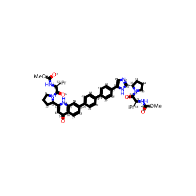 COC(=O)N[C@H](C(=O)N1CCCC1c1cc(=O)c2ccc(-c3ccc(-c4ccc(-c5cnc([C@@H]6CCCN6C(=O)[C@@H](NC(=O)OC)C(C)C)[nH]5)cc4)cc3)cc2[nH]1)C(C)C